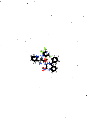 O=C1Nc2ccccc2C(c2ccccc2)=NC1NC(=O)[C@H](Cc1ccccc1)Nc1c(F)c(F)nc(F)c1F